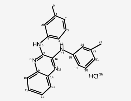 Cc1cccc(Nc2nc3ccccc3nc2Nc2cccc(C)c2)c1.Cl